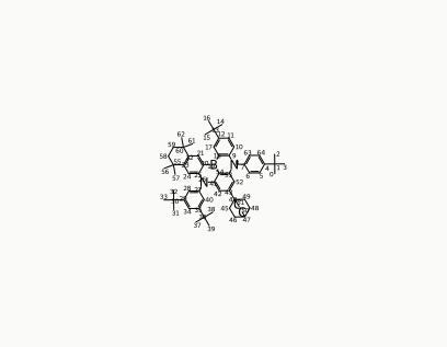 CC(C)(C)c1ccc(N2c3ccc(C(C)(C)C)cc3B3c4cc5c(cc4N(c4cc(C(C)(C)C)cc(C(C)(C)C)c4)c4cc(C67CCC(CC6)CC7)cc2c43)C(C)(C)CCC5(C)C)cc1